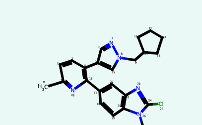 Cc1ccc(-c2cnn(CC3CCCC3)c2)c(-c2ccc3c(c2)nc(Cl)n3C)n1